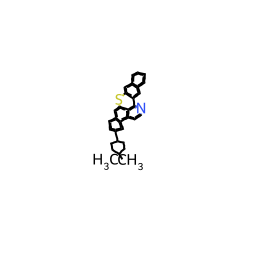 CC1(C)CCC(c2ccc3cc4c5c(nccc5c3c2)-c2cc3ccccc3cc2S4)CC1